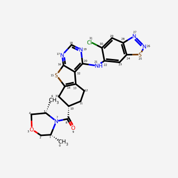 C[C@@H]1COC[C@H](C)N1C(=O)[C@H]1CCc2c(sc3ncnc(Nc4cc5snnc5cc4Cl)c23)C1